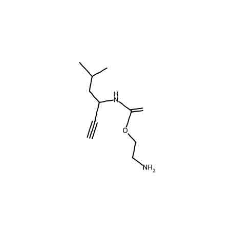 C#CC(CC(C)C)NC(=C)OCCN